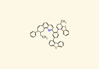 CCC1Cc2c(ccc3ccc(-c4cc(-c5cccc6sc7ccccc7c56)ccc4C4=CCC(C)c5sc6ccccc6c54)nc23)C=CC1c1ccccc1